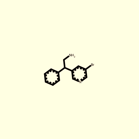 NCC(c1ccccc1)c1cncc(Br)c1